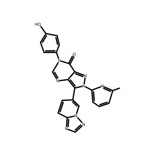 Cc1cccc(-n2nc3c(=O)n(-c4ccc(O)cc4)cnc3c2-c2ccc3ncnn3c2)n1